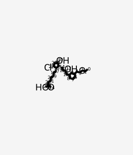 CCOCCc1cccc(C[C@@H](O)/C=C/[C@@H]2[C@@H](CCCCCCC(=O)O)[C@H](Cl)C[C@H]2O)c1